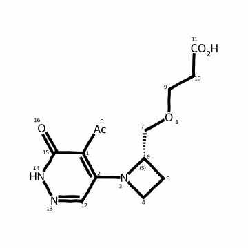 CC(=O)c1c(N2CC[C@H]2COCCC(=O)O)cn[nH]c1=O